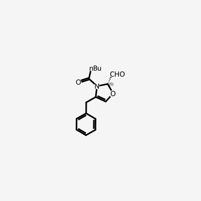 CCCCC(=O)N1C(Cc2ccccc2)=CO[C@H]1C=O